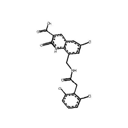 O=C(Cc1c(Cl)cccc1Cl)NCc1cc(Cl)cc2cc(C(=O)O)c(=O)[nH]c12